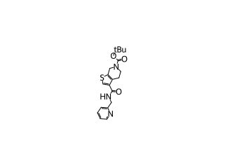 CC(C)(C)OC(=O)N1CCc2c(C(=O)NCc3ccccn3)csc2C1